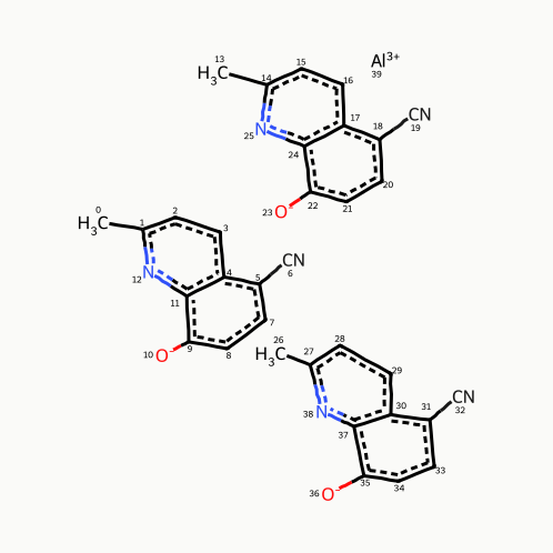 Cc1ccc2c(C#N)ccc([O-])c2n1.Cc1ccc2c(C#N)ccc([O-])c2n1.Cc1ccc2c(C#N)ccc([O-])c2n1.[Al+3]